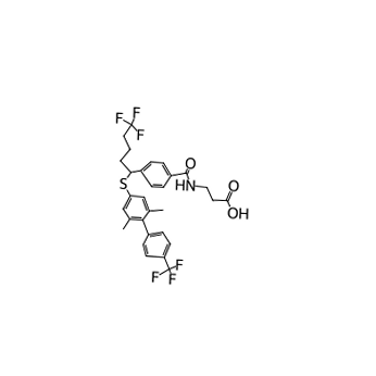 Cc1cc(SC(CCCC(F)(F)F)c2ccc(C(=O)NCCC(=O)O)cc2)cc(C)c1-c1ccc(C(F)(F)F)cc1